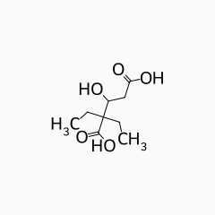 CCC(CC)(C(=O)O)C(O)CC(=O)O